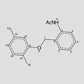 CC(=O)Nc1ccccc1COc1cc(C)ccc1C